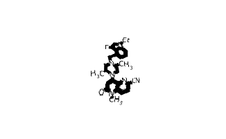 CCn1cc(F)c2c(CN3C[C@H](C)N(c4cc(=O)n(C)c5ccc(C#N)nc45)CC3C)cccc21